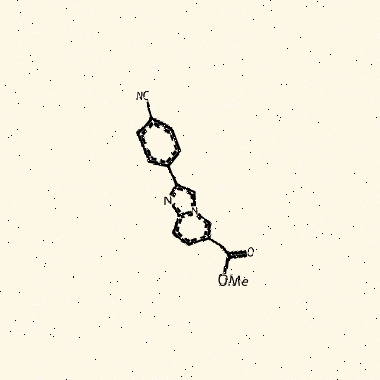 COC(=O)c1ccc2nc(-c3ccc(C#N)cc3)cn2c1